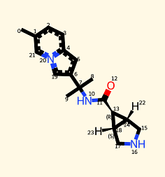 Cc1ccc2cc(C(C)(C)NC(=O)[C@H]3[C@@H]4CNC[C@@H]43)cn2c1